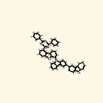 C1=Cc2sc3ccc(-c4ccc5c(c4)c4ccccc4n5-c4cccc5c4oc4cccc(-c6nc(-c7ccccc7)nc(-c7ccccc7)n6)c45)cc3c2CC1